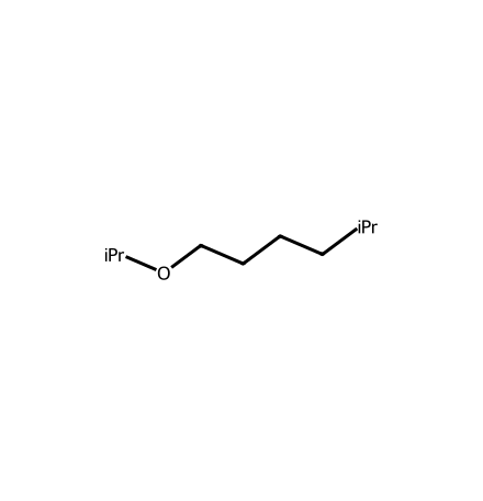 CC(C)CCCCOC(C)C